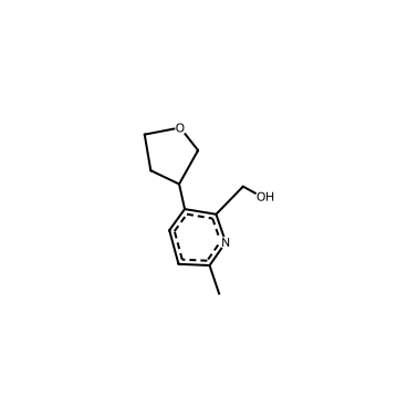 Cc1ccc(C2CCOC2)c(CO)n1